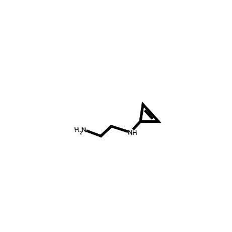 NCCNC1C=C1